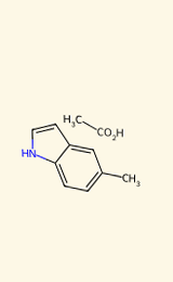 CC(=O)O.Cc1ccc2[nH]ccc2c1